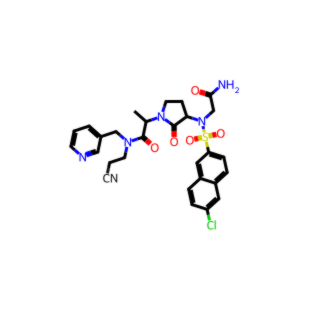 CC(C(=O)N(CCC#N)Cc1cccnc1)N1CCC(N(CC(N)=O)S(=O)(=O)c2ccc3cc(Cl)ccc3c2)C1=O